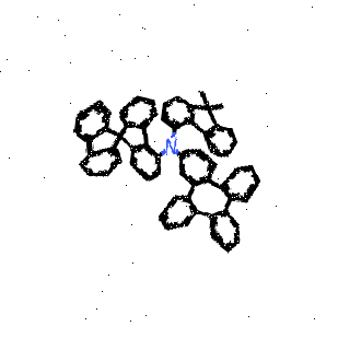 CC1(C)c2ccccc2-c2c(N(c3ccc4c(c3)-c3ccccc3-c3ccccc3-c3ccccc3-4)c3cccc4c3-c3ccccc3C43c4ccccc4-c4ccccc43)cccc21